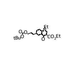 CCOC(=O)c1cn(CC)c2ccc(C=CCOC(=O)OC(C)(C)C)cc2c1=O